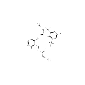 Cc1cc(C(C)(C)C)c(OC(=O)C=[N+]=[N-])c(C(C)(C)C)c1.[N-]=[N+]=CC(=O)OCc1c(F)c(F)cc(F)c1F